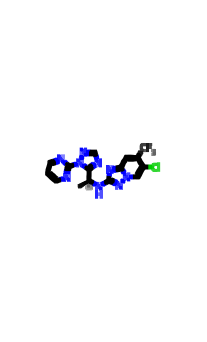 C[C@H](Nc1nc2cc(C(F)(F)F)c(Cl)cn2n1)c1ncnn1-c1ncccn1